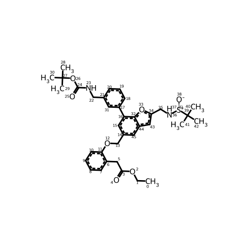 CCOC(=O)Cc1ccccc1OCc1cc(-c2cccc(CNC(=O)OC(C)(C)C)c2)c2oc(CN[S@+]([O-])C(C)(C)C)cc2c1